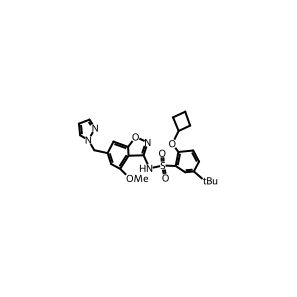 COc1cc(Cn2cccn2)cc2onc(NS(=O)(=O)c3cc(C(C)(C)C)ccc3OC3CCC3)c12